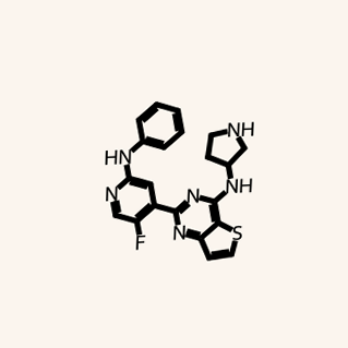 Fc1cnc(Nc2ccccc2)cc1-c1nc(NC2CCNC2)c2sccc2n1